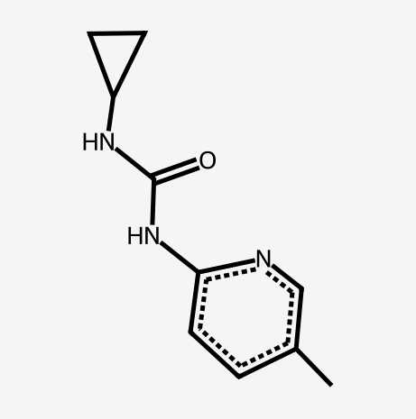 Cc1ccc(NC(=O)NC2CC2)nc1